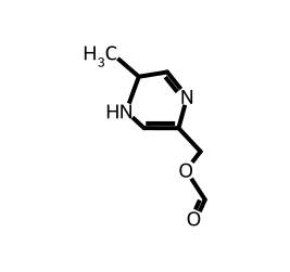 CC1C=NC(COC=O)=CN1